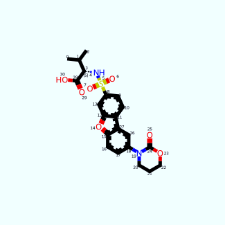 CC(C)[C@H](NS(=O)(=O)c1ccc2c(c1)oc1ccc(N3CCCOC3=O)cc12)C(=O)O